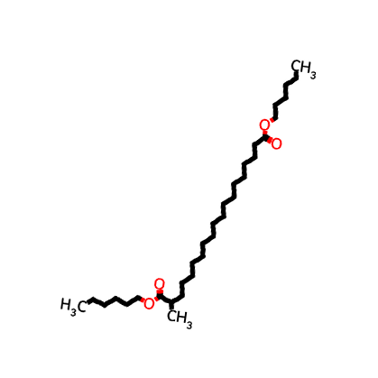 CCCCCCOC(=O)CCCCCCCCCCCCCCCCC(C)C(=O)OCCCCCC